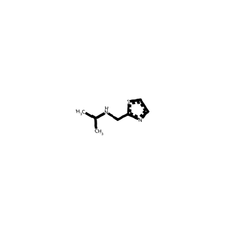 CC(C)NCc1nccs1